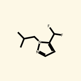 CC(C)Cn1nc[c]c1C(F)F